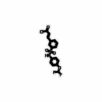 O=C(Cl)/C=C/c1cccc(S(=O)(=O)Nc2ccc(OC(F)F)cc2)c1